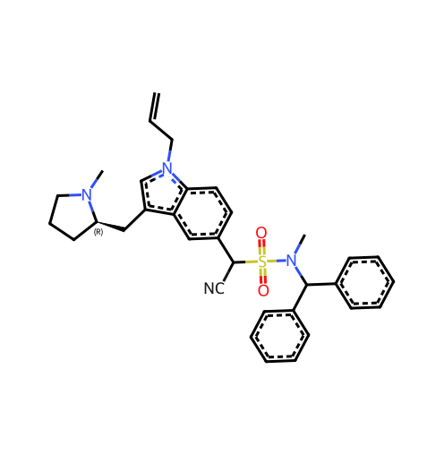 C=CCn1cc(C[C@H]2CCCN2C)c2cc(C(C#N)S(=O)(=O)N(C)C(c3ccccc3)c3ccccc3)ccc21